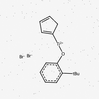 CC(C)(C)c1ccccc1[O][Ti+2][C]1=CC=CC1.[Br-].[Br-]